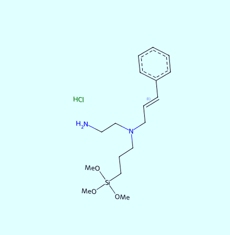 CO[Si](CCCN(C/C=C/c1ccccc1)CCN)(OC)OC.Cl